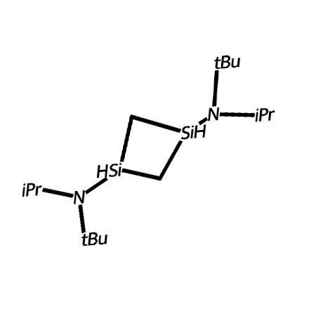 CC(C)N([SiH]1C[SiH](N(C(C)C)C(C)(C)C)C1)C(C)(C)C